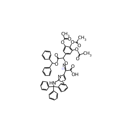 CC(=O)Oc1cc(C(O/N=C(\C(=O)O)c2csc(NC(c3ccccc3)(c3ccccc3)c3ccccc3)n2)C(=O)OC(c2ccccc2)c2ccccc2)cc(OC(C)=O)c1OC(C)=O